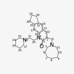 O=c1c(CN2CCCCCCC2)cc2cc3c(cc2n1CCN1CCCCC1)CCC3